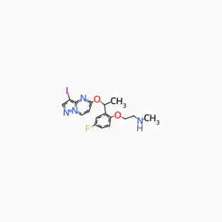 CNCCOc1ccc(F)cc1C(C)Oc1ccn2ncc(I)c2n1